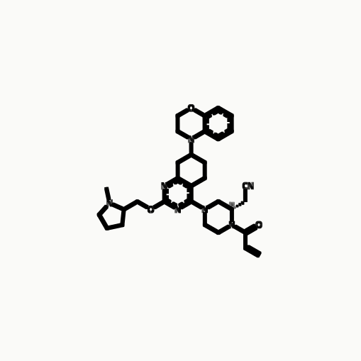 C=CC(=O)N1CCN(c2nc(OCC3CCCN3C)nc3c2CCC(N2CCOc4ccccc42)C3)C[C@@H]1CC#N